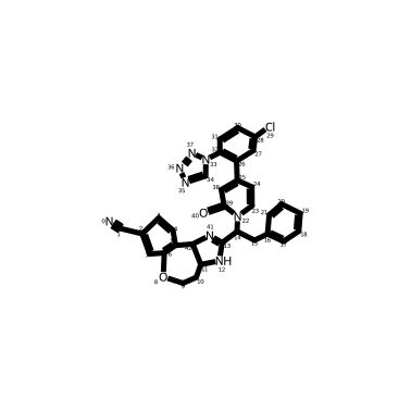 N#Cc1ccc2c(c1)OCCC1NC(C(Cc3ccccc3)n3ccc(-c4cc(Cl)ccc4-n4cnnn4)cc3=O)=NC21